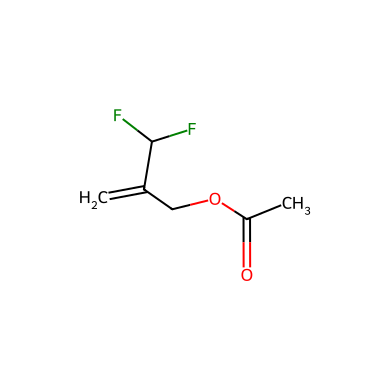 C=C(COC(C)=O)C(F)F